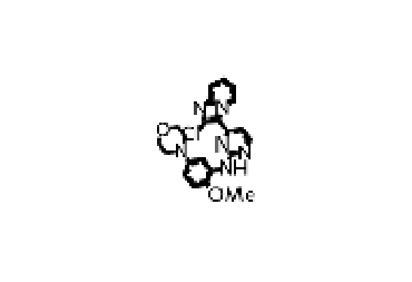 COc1ccc(N2CCOCC2)cc1Nc1nccc(-c2c(Cl)nc3ccccn23)n1